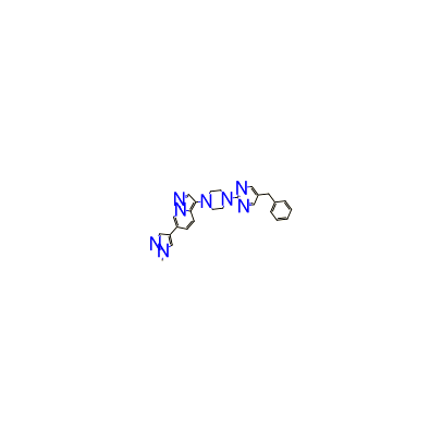 Cn1cc(-c2ccc3c(N4CCN(c5ncc(Cc6ccccc6)cn5)CC4)cnn3c2)cn1